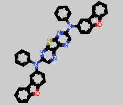 c1ccc(N(c2ccc3oc4ccccc4c3c2)c2cnc3c(n2)sc2nc(N(c4ccccc4)c4ccc5oc6ccccc6c5c4)cnc23)cc1